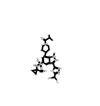 CC(C)C(=O)N1CCC(c2cc(S(=O)(=O)NC3(C#N)CC3)cc3c(-c4nnc(C(F)F)s4)nn(C)c23)CC1